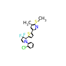 CCSc1ncc(-c2ccc(C3N(c4ccccc4Cl)C=CC3(F)F)s2)cc1C